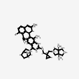 C#Cc1c(F)ccc2c1C(c1c(Cl)cc3c(N4CC5CCC(C4)N5)nc(OCC4(CN5C[C@]6(C)COC[C@]6(C)C5)CC4)nc3c1C)CC(O)=C2